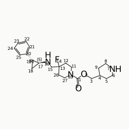 O=C(OCC1CCNCC1)N1CCC(F)(CN[C@H]2C[C@@H]2c2ccccc2)CC1